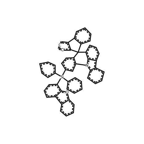 c1ccc([Si](c2ccccc2)(c2ccc3c(c2)-n2c4ccccc4c4cccc(c42)C32c3ccccc3-c3ccccc32)c2cccc3c2oc2ccccc23)cc1